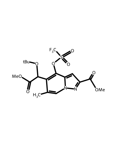 COC(=O)c1cc2c(OS(=O)(=O)C(F)(F)F)c(C(OC(C)(C)C)C(=O)OC)c(C)cn2n1